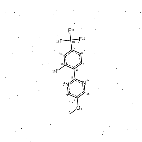 COc1cnc(-c2ccc(C(F)(F)F)cc2F)nc1